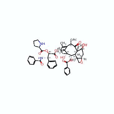 CC(=O)O[C@H]1C(=O)[C@@]2(C)[C@H]([C@H](OC(=O)c3ccccc3)[C@@]3(O)C[C@H](OC(=O)[C@H](OC(=O)C4CCCN4)[C@@H](NC(=O)c4ccccc4)c4ccccc4)C(C)=C1C3(C)C)[C@]1(OC(C)=O)CO[C@@H]1C[C@@H]2O